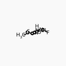 CCC1C=CSC(c2ccc3cnc(NC(=O)CN4CCN(CCF)CC4)cc3c2)=C1